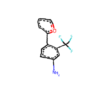 Nc1ccc(-c2ccco2)c(C(F)(F)F)c1